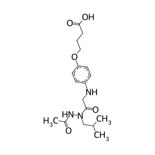 CC(=O)NN(CC(C)C)C(=O)CNc1ccc(OCCCC(=O)O)cc1